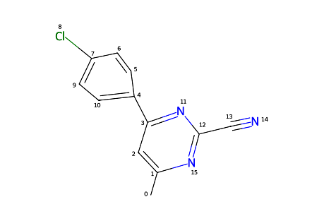 Cc1cc(-c2ccc(Cl)cc2)nc(C#N)n1